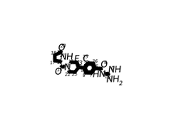 N=C(N)NC(=O)c1ccc(C2CCN(C(=O)[C@@H]3CCC(=O)N3)CC2)c(C(F)(F)F)c1